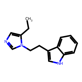 CCc1cncn1CCc1c[nH]c2ccccc12